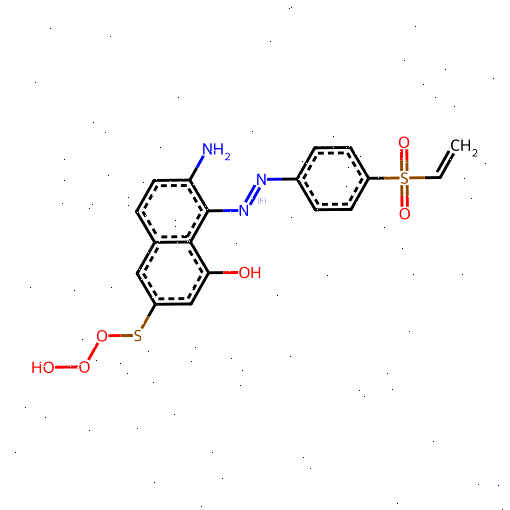 C=CS(=O)(=O)c1ccc(/N=N/c2c(N)ccc3cc(SOOO)cc(O)c23)cc1